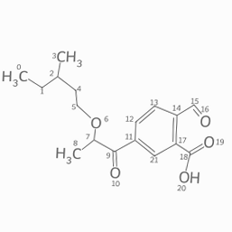 CCC(C)CCOC(C)C(=O)c1ccc(C=O)c(C(=O)O)c1